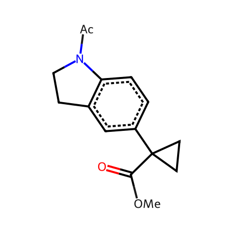 COC(=O)C1(c2ccc3c(c2)CCN3C(C)=O)CC1